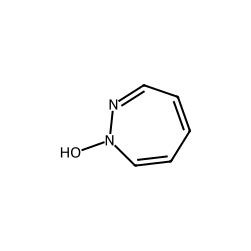 ON1C=CC=CC=N1